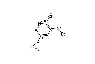 CCSc1cc(C2CC2)cnc1C#N